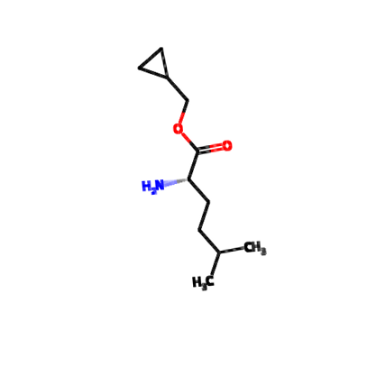 CC(C)CC[C@H](N)C(=O)OCC1CC1